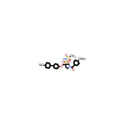 COc1ccc(C(=O)N2CCC(COc3ccc(-c4ccc(C#N)cc4)cc3)(S(=O)(=O)NS(C)(=O)=O)C2)cc1